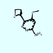 COc1cc(N)nnc1C1CCO1